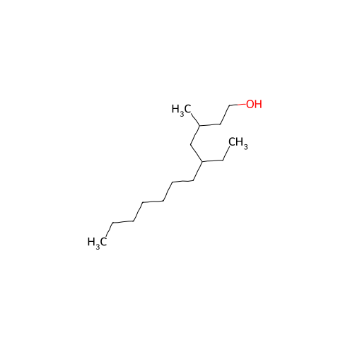 CCCCCCCC(CC)CC(C)CCO